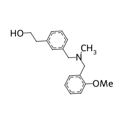 COc1ccccc1CN(C)Cc1cccc(CCO)c1